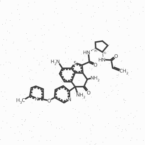 C=CC(=O)N[C@H]1CCC[C@H]1NC(=O)c1sc2c(N)ccc3c2c1C(N)C(=O)C3(N)c1ccc(Oc2cccc(C)n2)cn1